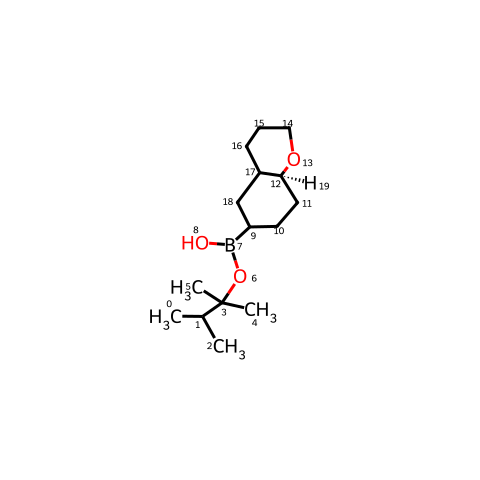 CC(C)C(C)(C)OB(O)C1CC[C@@H]2OCCCC2C1